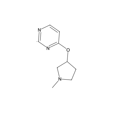 CN1CCC(Oc2ccn[c]n2)C1